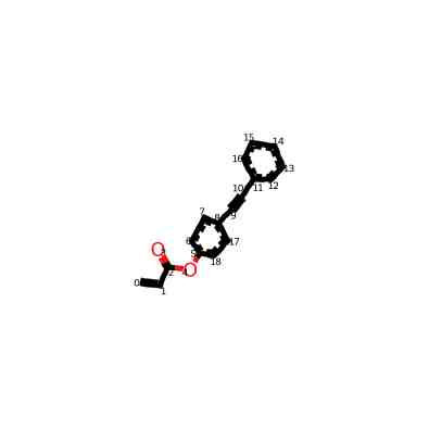 C=CC(=O)Oc1ccc(C#Cc2ccccc2)cc1